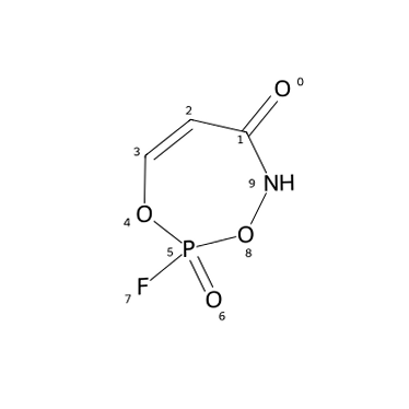 O=C1C=COP(=O)(F)ON1